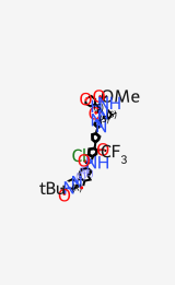 COC(=O)N[C@H](C(=O)N1C[C@@H](C)C[C@H]1c1nc(-c2ccc(-c3cc(Cl)c(NC(=O)C4=C/C=C(/N5CCN(C(=O)C(C)(C)C)C[C@H]5C)C(C)C\C=C\4)cc3OC(F)(F)F)cc2)c[nH]1)C1CCOCC1